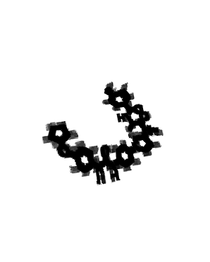 Cc1ccc(C(=O)NC(C)C(=O)N(C)C2CCN(c3ccc(NC(=O)Nc4ccc(OC5CCCC5)cc4)cc3)C2)cc1